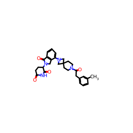 Cc1cccc(CC(=O)N2CCC3(CC2)CN(c2cccc4c2CN(C2CCC(=O)NC2=O)C4=O)C3)c1